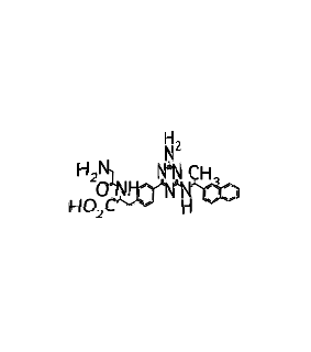 C[C@@H](Nc1nc(N)nc(-c2ccc(C[C@H](NC(=O)CN)C(=O)O)cc2)n1)c1ccc2ccccc2c1